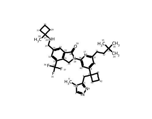 Cn1cnnc1CC1(c2cc(CCC(C)(C)C)nc(N3Cc4c(cc(CNC5(C)CCC5)cc4C(F)(F)F)C3=O)c2)CCC1